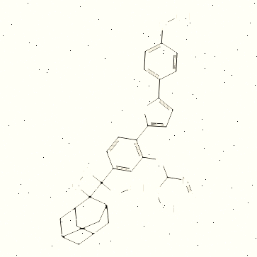 COc1ccc(-c2ccc(-c3ccc(C4(OC)OOC45C4CC6CC(C4)CC5C6)cc3OC(N=O)SO)s2)cc1